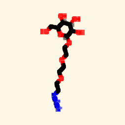 [N-]=[N+]=NCCOCCOCCO[C@H]1OC(CO)[C@@H](O)[C@H](O)C1O